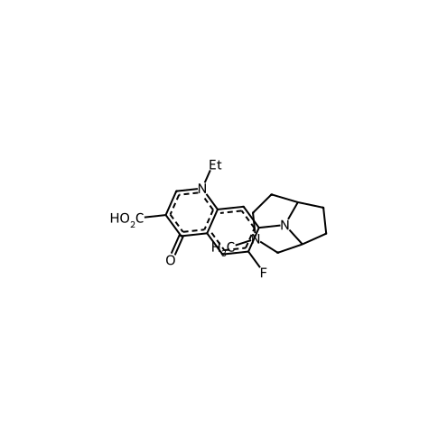 CCn1cc(C(=O)O)c(=O)c2cc(F)c(N3C4CCC3CN(C)CC4)cc21